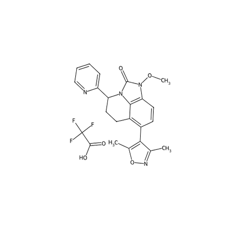 COn1c(=O)n2c3c(c(-c4c(C)noc4C)ccc31)CCC2c1ccccn1.O=C(O)C(F)(F)F